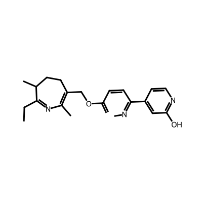 C=C(/C=C\C(=N/C)c1ccnc(O)c1)OCC1=C(C)N=C(CC)C(C)CC1